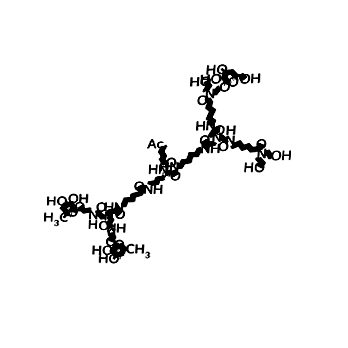 CC(=O)CCCCC(=O)N[C@@H](CCCCNC(=O)CCCCCNC(=O)CN(CC(=O)NCCO[C@@H]1O[C@@H](C)C[C@@H](O)[C@@H]1O)CC(=O)NCCO[C@@H]1O[C@@H](C)C[C@@H](O)[C@@H]1O)C(=O)NCCCCCCNC(=O)CN(CC(=O)NCCCCCC(=O)N(CCO)CCO)CC(=O)NCCCCCC(=O)N(CCO)CCO[C@H]1O[C@H](CO)C[C@H](O)[C@@H]1O